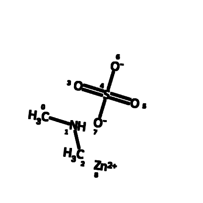 CNC.O=S(=O)([O-])[O-].[Zn+2]